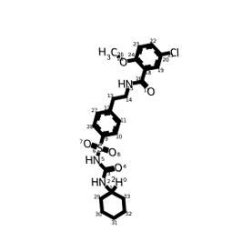 [2H]C1(NC(=O)NS(=O)(=O)c2ccc(CCNC(=O)c3cc(Cl)ccc3OC)cc2)CCCCC1